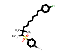 Cc1ccc(S(=O)(=O)C(C(=O)O)C(C)(C)CCCCCCCc2ccc(Cl)cc2)cc1